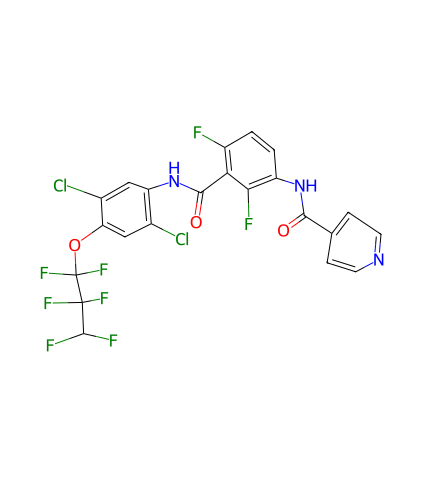 O=C(Nc1ccc(F)c(C(=O)Nc2cc(Cl)c(OC(F)(F)C(F)(F)C(F)F)cc2Cl)c1F)c1ccncc1